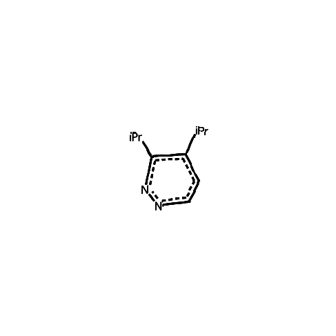 CC(C)c1ccnnc1C(C)C